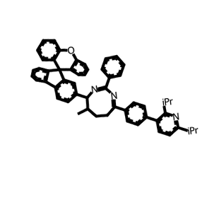 CC(C)c1ccc(-c2ccc(/C3=N/C(c4ccccc4)=N\C(c4ccc5c(c4)C4(c6ccccc6Oc6ccccc64)c4ccccc4-5)C(C)CC3)cc2)c(C(C)C)n1